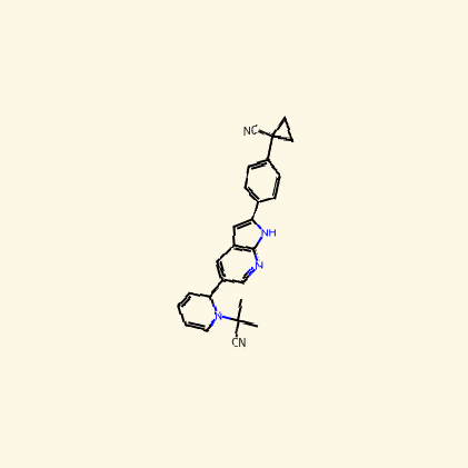 CC(C)(C#N)N1C=CC=CC1c1cnc2[nH]c(-c3ccc(C4(C#N)CC4)cc3)cc2c1